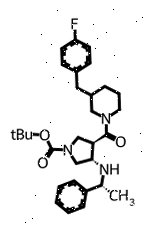 C[C@@H](N[C@@H]1CN(C(=O)OC(C)(C)C)C[C@H]1C(=O)N1CCCC(Cc2ccc(F)cc2)C1)c1ccccc1